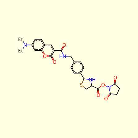 CCN(CC)c1ccc2cc(C(=O)NCc3ccc(C4NC(C(=O)ON5C(=O)CCC5=O)CS4)cc3)c(=O)oc2c1